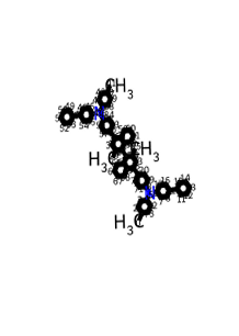 Cc1ccc(N(c2ccc(-c3ccccc3)cc2)c2ccc(-c3cc(C)c(-c4c(C)cc(-c5ccc(N(c6ccc(C)cc6)c6ccc(-c7ccccc7)cc6)cc5)c5ccccc45)c4ccccc34)cc2)cc1